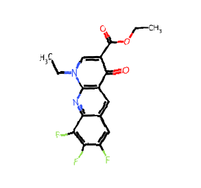 CCOC(=O)c1cn(CC)c2nc3c(F)c(F)c(F)cc3cc2c1=O